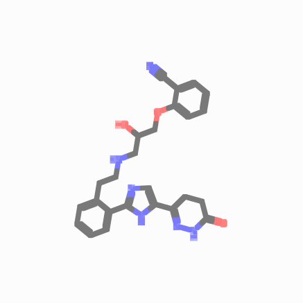 N#Cc1ccccc1OCC(O)CNCCc1ccccc1-c1ncc(C2=NNC(=O)CC2)[nH]1